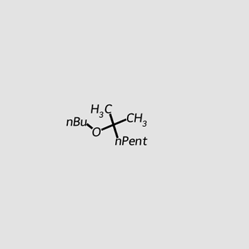 CCCCCC(C)(C)OCCCC